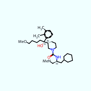 CNC[C@H](CC1CCCCC1)NC(=O)N1CCC[C@@H]([C@@](O)(CCCCOC)c2cccc(C)c2C)C1